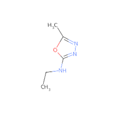 CCNc1nnc(C)o1